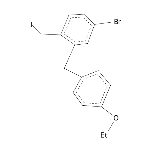 CCOc1ccc(Cc2cc(Br)ccc2CI)cc1